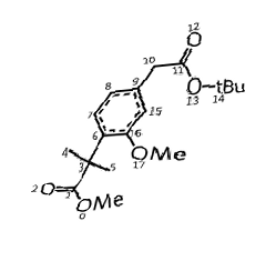 COC(=O)C(C)(C)c1ccc(CC(=O)OC(C)(C)C)cc1OC